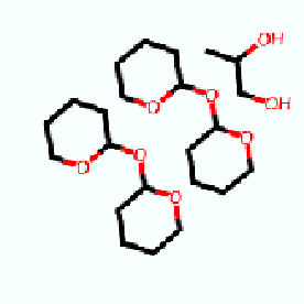 C1CCC(OC2CCCCO2)OC1.C1CCC(OC2CCCCO2)OC1.CC(O)CO